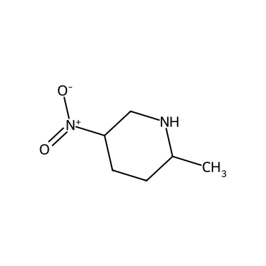 CC1CCC([N+](=O)[O-])CN1